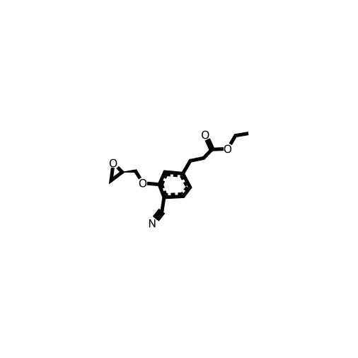 CCOC(=O)CCc1ccc(C#N)c(OC[C@H]2CO2)c1